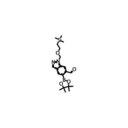 CC1(C)OB(c2cc3cnn(COCC[Si](C)(C)C)c3cc2C=O)OC1(C)C